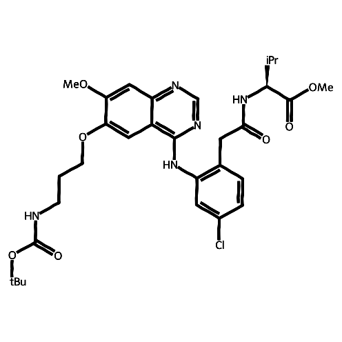 COC(=O)[C@@H](NC(=O)Cc1ccc(Cl)cc1Nc1ncnc2cc(OC)c(OCCCNC(=O)OC(C)(C)C)cc12)C(C)C